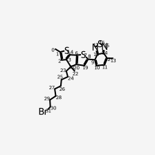 Cc1cc2c(s1)-c1sc(-c3ccc(C)c4nsnc34)cc1C2(C)CCCCCCCCBr